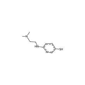 CN(C)CCNc1ccc(S)cn1